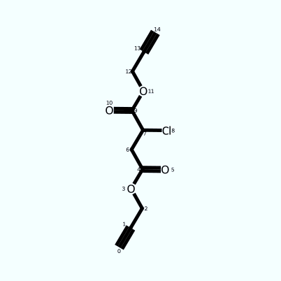 C#CCOC(=O)CC(Cl)C(=O)OCC#C